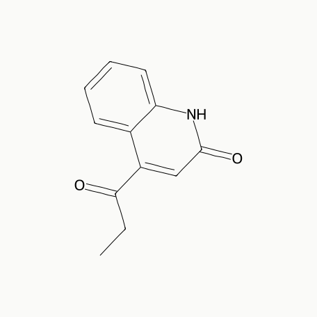 CCC(=O)c1cc(=O)[nH]c2ccccc12